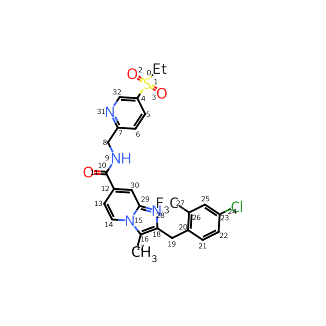 CCS(=O)(=O)c1ccc(CNC(=O)c2ccn3c(C)c(Cc4ccc(Cl)cc4C(F)(F)F)nc3c2)nc1